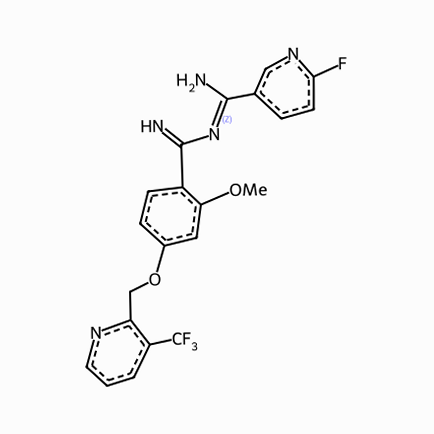 COc1cc(OCc2ncccc2C(F)(F)F)ccc1C(=N)/N=C(\N)c1ccc(F)nc1